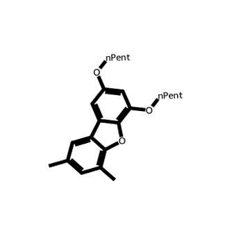 CCCCCOc1cc(OCCCCC)c2oc3c(C)cc(C)cc3c2c1